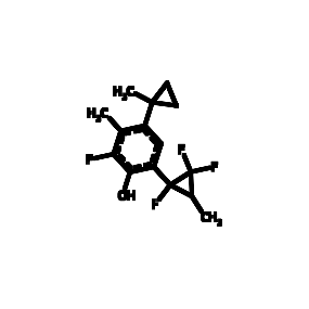 Cc1c(C2(C)CC2)cc(C2(F)C(C)C2(F)F)c(O)c1F